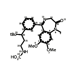 COc1cc2c(cc1OC)N(C)C(=O)CN=C2c1cccc(C(CCNC(=O)O)C(C)(C)C)c1